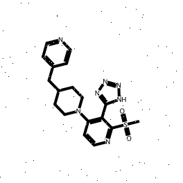 CS(=O)(=O)c1nccc(N2CCC(Cc3ccncc3)CC2)c1-c1nnn[nH]1